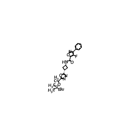 CC(O[Si](C)(C)C(C)(C)C)c1nnc([C@H]2C[C@H](NC(=O)c3onc(-c4ccccc4)c3F)C2)o1